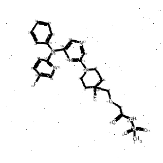 CS(=O)(=O)NC(=O)COCC1(F)CCN(c2cncc(N(c3ccccc3)c3ccc(F)cn3)n2)CC1